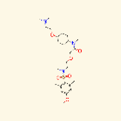 COc1cc(C)c(S(=O)(=O)N(C)CCOCC(=O)N(C)[C@H]2CC[C@H](OCCN(C)C)CC2)c(C)c1